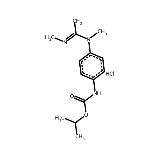 CN=C(C)N(C)c1ccc(NC(=O)OC(C)C)cc1.Cl